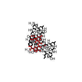 CC[C@H](C)[C@H](NC(=O)[C@H](CCCNC(=N)N)NC(=O)CNC(=O)[C@@H](NC(=O)[C@H](CC(=O)O)NC(=O)[C@H](C)NC(=O)[C@H](CC(C)C)NC(=O)[C@H](C)NC(=O)[C@H](CC(N)=O)NC(=O)[C@H](C)NC(=O)[C@H](CC(C)C)NC(=O)[C@@H](NC(=O)[C@H](CC(C)C)NC(=O)[C@H](CC(N)=O)NC(=O)CNC(=O)[C@H](Cc1ccccc1)NC(=O)[C@H](CC(=O)O)NC(=O)[C@H](C)NC(=O)[C@@H](NC(=O)CN)C(C)C)[C@@H](C)O)[C@@H](C)CC)C(=O)O